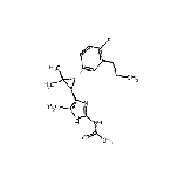 CCCc1cc([C@@H]2[C@@H](c3nc(NC(C)=O)[nH]c3C)C2(C)C)ccc1F